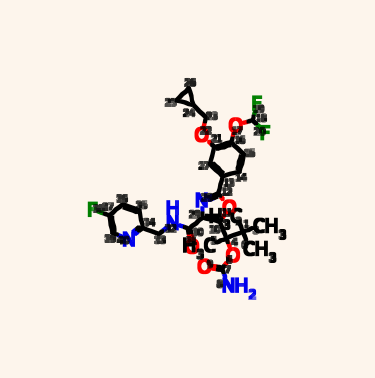 CC(C)(C)C(C)(OC(N)=O)c1oc(-c2ccc(OC(F)F)c(OCC3CC3)c2)nc1C(=O)NCc1ccc(F)cn1